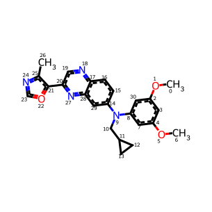 COc1cc(OC)cc(N(CC2CC2)c2ccc3ncc(-c4ocnc4C)nc3c2)c1